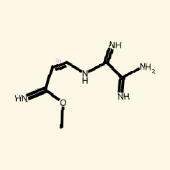 COC(=N)/C=C\NC(=N)C(=N)N